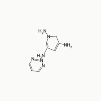 NC1=CN(N)CC(N)=C1.c1cnnnc1